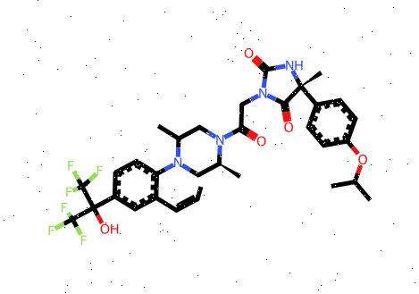 C/C=C\c1cc(C(O)(C(F)(F)F)C(F)(F)F)ccc1N1C[C@H](C)N(C(=O)CN2C(=O)N[C@](C)(c3ccc(OC(C)C)cc3)C2=O)CC1C